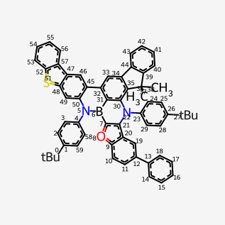 CC(C)(C)c1ccc(N2B3c4oc5ccc(-c6ccccc6)cc5c4N(c4ccc(C(C)(C)C)cc4)c4c3c(cc3c4C(C)(C)c4ccccc4-3)-c3cc4c(cc32)sc2ccccc24)cc1